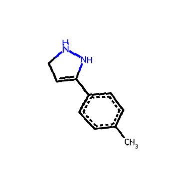 Cc1ccc(C2=CCNN2)cc1